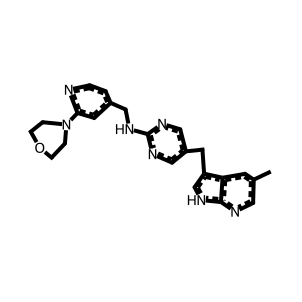 Cc1cnc2[nH]cc(Cc3cnc(NCc4ccnc(N5CCOCC5)c4)nc3)c2c1